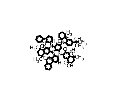 Cc1cc2c(cc1N1c3cc(N4c5ccc(C(C)(C)C)cc5C5(C)CCCCC45C)cc4c3B(c3cc5c(cc3N4c3cccc4c3oc3ccccc34)C(C)(C)CCC5(C)C)c3c1ccc1c3CCc3ccccc3-1)C(C)(C)CCC2(C)C